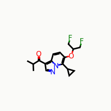 CC(C)C(=O)c1cnn2c(C3CC3)c(OC(CF)CF)ccc12